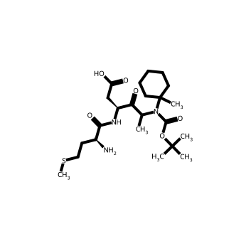 CSCC[C@H](N)C(=O)N[C@@H](CC(=O)O)C(=O)C(C)N(C(=O)OC(C)(C)C)C1(C)CCCCC1